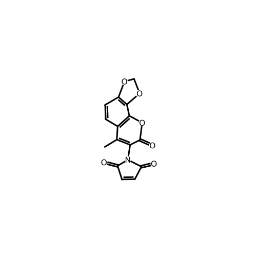 Cc1c(N2C(=O)C=CC2=O)c(=O)oc2c3c(ccc12)OCO3